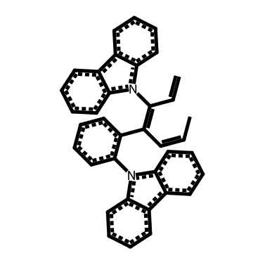 C=C/C(=C(\C=C/C)c1ccccc1-n1c2ccccc2c2ccccc21)n1c2ccccc2c2ccccc21